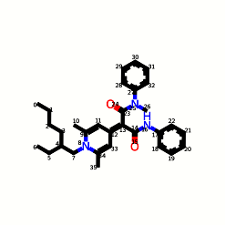 CCCCC(CC)CN1C(C)=CC(=C(C(=O)Nc2ccccc2)C(=O)N(C)c2ccccc2)C=C1C